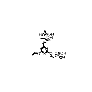 CC.CCCC.CCOc1cc(C)nc(OCC)n1.OP(O)(O)=S.OP(O)(O)=S